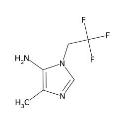 Cc1ncn(CC(F)(F)F)c1N